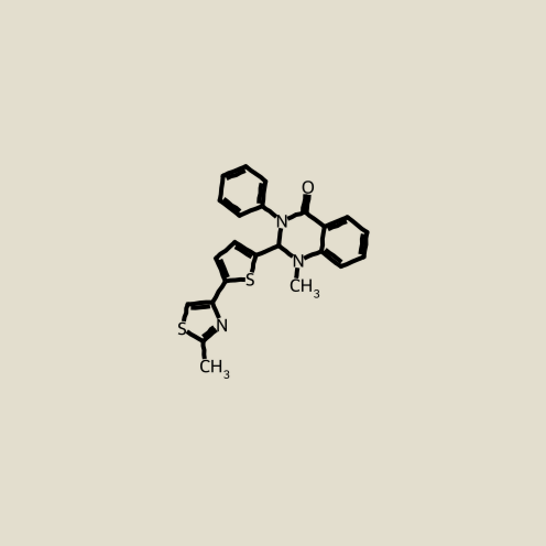 Cc1nc(-c2ccc(C3N(C)c4ccccc4C(=O)N3c3ccccc3)s2)cs1